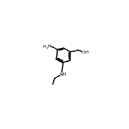 CCNc1cc(N)cc(CO)c1